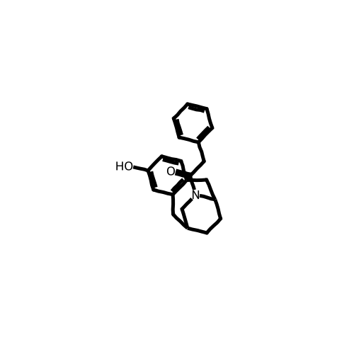 O=C(Cc1ccccc1)N1CC2CCC1Cc1ccc(O)cc1C2